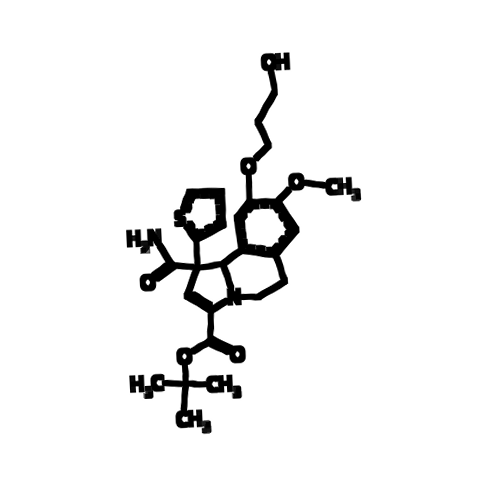 COc1cc2c(cc1OCCCO)C1N(CC2)C(C(=O)OC(C)(C)C)=CC1(C(N)=O)c1cccs1